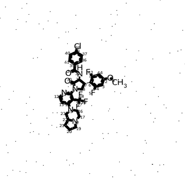 COc1cc(F)c([C@@H]2CN(c3nccc(N4CCN5CCCC5C4)c3C(F)(F)F)C(=O)[C@H]2NC(=O)c2ccc(Cl)cc2)c(F)c1